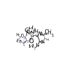 CC/C=C\C(C)N(C)NC(=O)c1nc(C)cnc1N